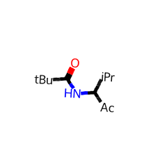 CC(=O)C(NC(=O)C(C)(C)C)C(C)C